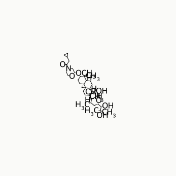 C[C@@H]1C[C@H]([C@H](O)C(C)(C)O)O[C@H]2[C@H]1[C@@]1(C)CC[C@@]34C[C@@]35CC[C@H](O[C@H]3CN(C(=O)CC6CC6)CCO3)C(C)(C)[C@@H]5CC[C@H]4[C@]1(C)[C@H]2O